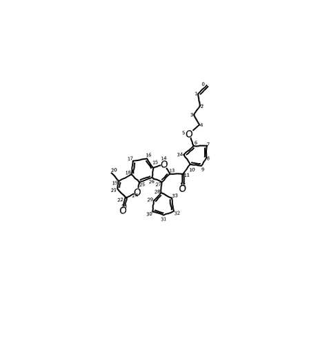 C=CCCCOc1cccc(C(=O)c2oc3ccc4c(C)cc(=O)oc4c3c2-c2ccccc2)c1